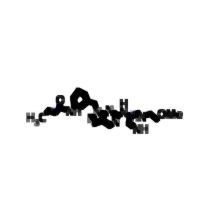 C/C=C/C(=O)Nc1cccc(Cn2ncc3cnc(N/C(C=N)=C/NCCOC)nc32)c1